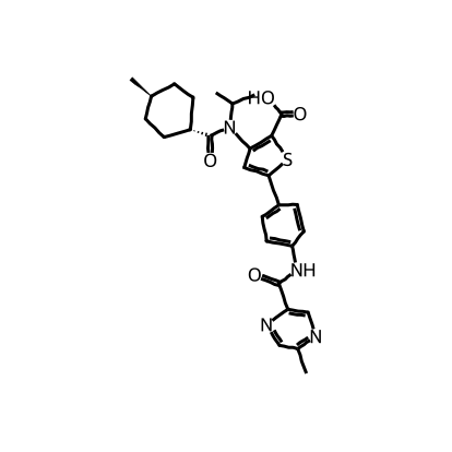 Cc1cnc(C(=O)Nc2ccc(-c3cc(N(C(=O)[C@H]4CC[C@H](C)CC4)C(C)C)c(C(=O)O)s3)cc2)cn1